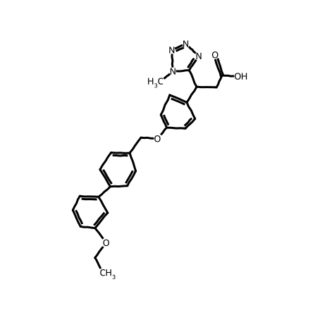 CCOc1cccc(-c2ccc(COc3ccc(C(CC(=O)O)c4nnnn4C)cc3)cc2)c1